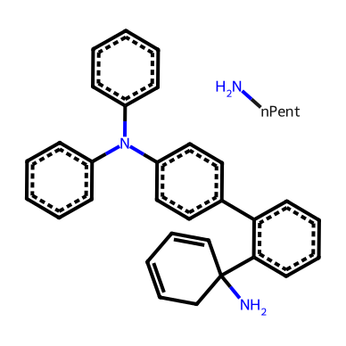 CCCCCN.NC1(c2ccccc2-c2ccc(N(c3ccccc3)c3ccccc3)cc2)C=CC=CC1